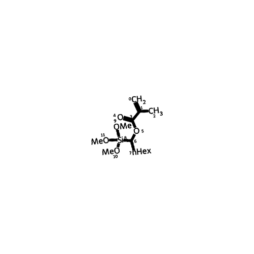 C=C(C)C(=O)OC(CCCCCC)[Si](OC)(OC)OC